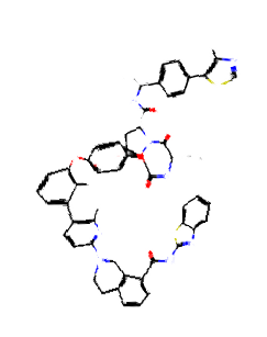 Cc1ncsc1-c1ccc([C@H](C)NC(=O)[C@@H]2C[C@@H](O)CN2C(=O)[C@@H](NC(=O)Cc2ccc(Oc3cccc(-c4ccc(N5CCc6cccc(C(=O)Nc7nc8ccccc8s7)c6C5)nc4C(=O)O)c3C)cc2)C(C)(C)C)cc1